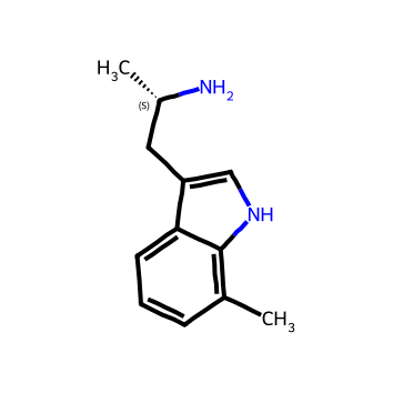 Cc1cccc2c(C[C@H](C)N)c[nH]c12